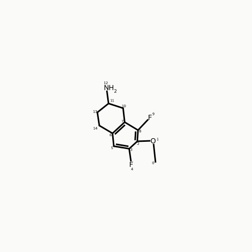 COc1c(F)cc2c(c1F)CC(N)CC2